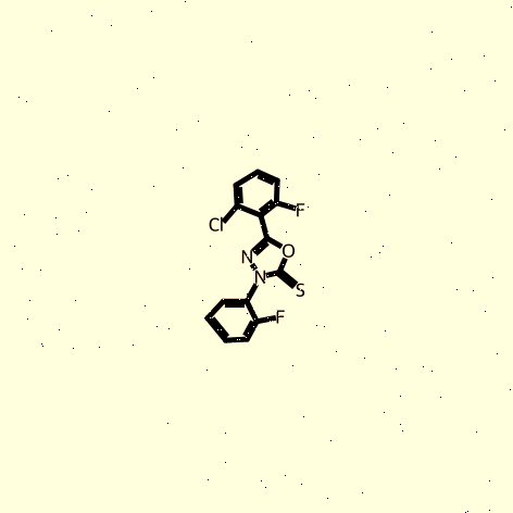 Fc1ccccc1-n1nc(-c2c(F)cccc2Cl)oc1=S